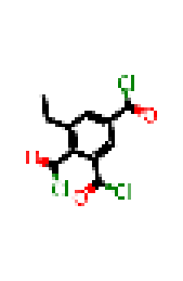 CCc1cc(C(=O)Cl)cc(C(=O)Cl)c1C(=O)Cl